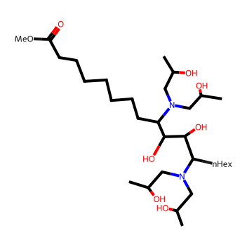 CCCCCCC(C(O)C(O)C(CCCCCCCC(=O)OC)N(CC(C)O)CC(C)O)N(CC(C)O)CC(C)O